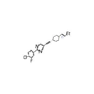 CC/C=C/[C@H]1CC[C@H](C#Cc2cnc(-c3ccc(Cl)c(F)c3)nc2)CC1